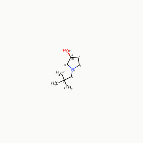 CC(C)(C)CN1CC[C@H](O)C1